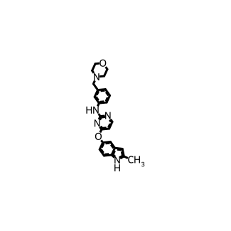 Cc1cc2cc(Oc3ccnc(Nc4cccc(CN5CCOCC5)c4)n3)ccc2[nH]1